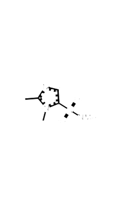 CNS(=O)(=O)c1cnc(C)n1C